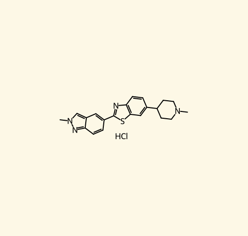 CN1CCC(c2ccc3nc(-c4ccc5nn(C)cc5c4)sc3c2)CC1.Cl